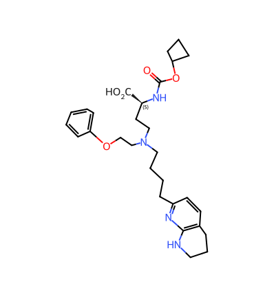 O=C(N[C@@H](CCN(CCCCc1ccc2c(n1)NCCC2)CCOc1ccccc1)C(=O)O)OC1CCC1